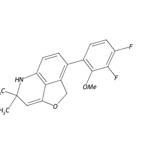 COc1c(-c2ccc3c4c2COC4=CC(C)(C)N3)ccc(F)c1F